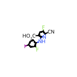 N#Cc1nc(Nc2ccc(I)cc2F)c(C(=O)O)cc1F